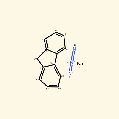 [N-]=[N+]=[N-].[Na+].c1ccc2c(c1)Cc1ccccc1-2